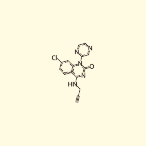 C#CCNc1nc(=O)n(-c2cnccn2)c2cc(Cl)ccc12